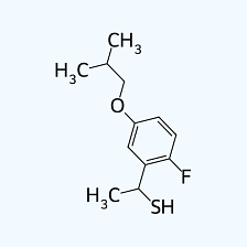 CC(C)COc1ccc(F)c(C(C)S)c1